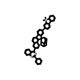 C[Si]1(C)c2ccccc2-c2ccc(-c3ccc4c(c3)C3(c5c-4ccc4cc(-c6nc(-c7ccccc7)nc7ccccc67)ccc54)C4CC5CC(C4)CC3C5)cc21